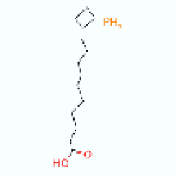 C1CCC1.CCCCCCCCCC(=O)O.P